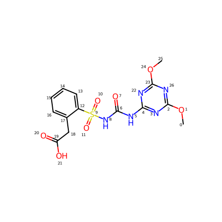 COc1nc(NC(=O)NS(=O)(=O)c2ccccc2CC(=O)O)nc(OC)n1